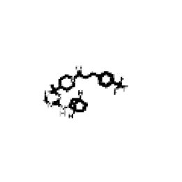 CC1(C2CCN(C(=O)CCc3ccc(C(F)(F)F)cc3)CC2)OCN=C(N[C@H]2C[C@@H]3CC[C@H]2C3)S1